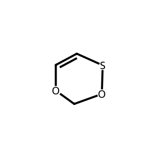 C1=CSOCO1